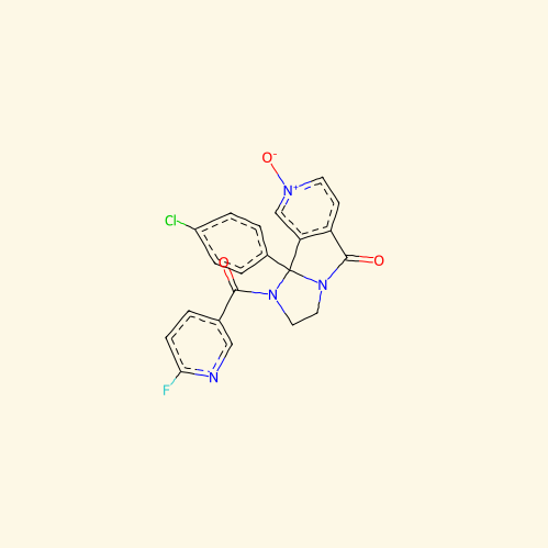 O=C(c1ccc(F)nc1)N1CCN2C(=O)c3cc[n+]([O-])cc3C12c1ccc(Cl)cc1